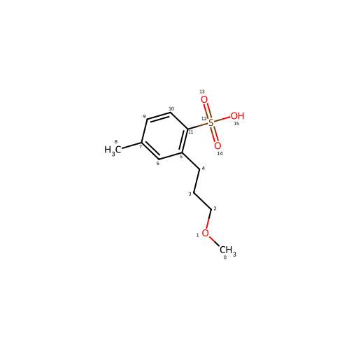 COCCCc1cc(C)ccc1S(=O)(=O)O